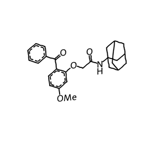 COc1ccc(C(=O)c2ccccc2)c(OCC(=O)NC23CC4CC(CC(C4)C2)C3)c1